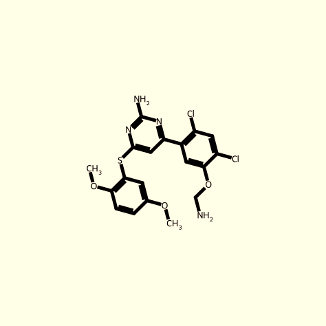 COc1ccc(OC)c(Sc2cc(-c3cc(OCN)c(Cl)cc3Cl)nc(N)n2)c1